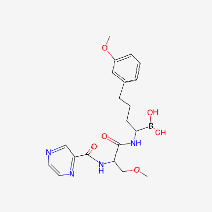 COCC(NC(=O)c1cnccn1)C(=O)NC(CCCc1cccc(OC)c1)B(O)O